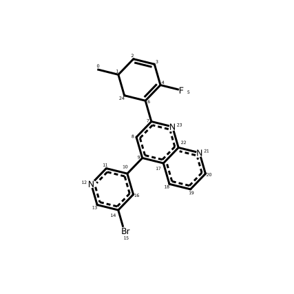 CC1C=CC(F)=C(c2cc(-c3cncc(Br)c3)c3cccnc3n2)C1